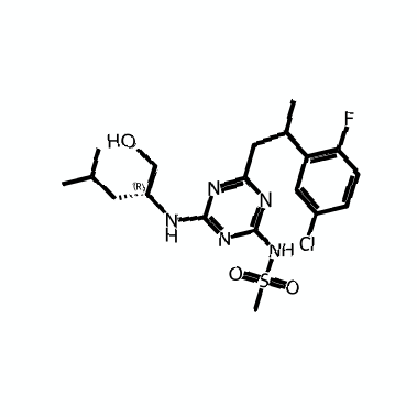 CC(C)C[C@H](CO)Nc1nc(CC(C)c2cc(Cl)ccc2F)nc(NS(C)(=O)=O)n1